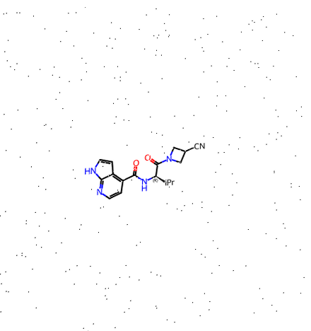 CC(C)[C@@H](NC(=O)c1ccnc2[nH]ccc12)C(=O)N1CC(C#N)C1